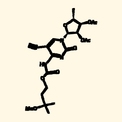 C#Cc1cn([C@@H]2O[C@H](C)[C@@H](OC(C)=O)[C@H]2OC(C)=O)c(=O)nc1NC(=O)OCCC(C)(C)OC